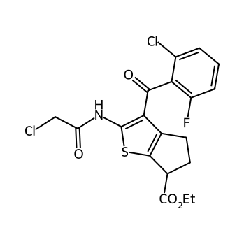 CCOC(=O)C1CCc2c1sc(NC(=O)CCl)c2C(=O)c1c(F)cccc1Cl